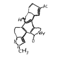 CC(=O)C1=CC2c3c4c(c5c(c3NC2C=C1)CCc1nn(C)cc1-5)C(=O)NC4